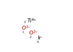 [Ir].[O-2].[O-2].[Ti+4]